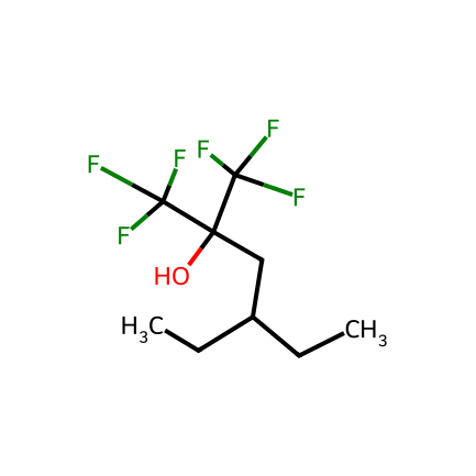 CCC(CC)CC(O)(C(F)(F)F)C(F)(F)F